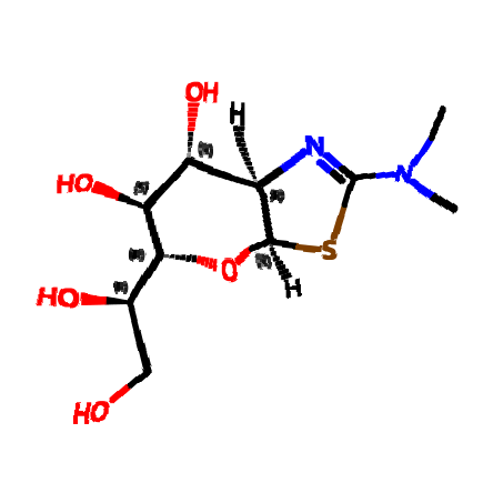 CN(C)C1=N[C@@H]2[C@@H](O)[C@H](O)[C@@H]([C@H](O)CO)O[C@@H]2S1